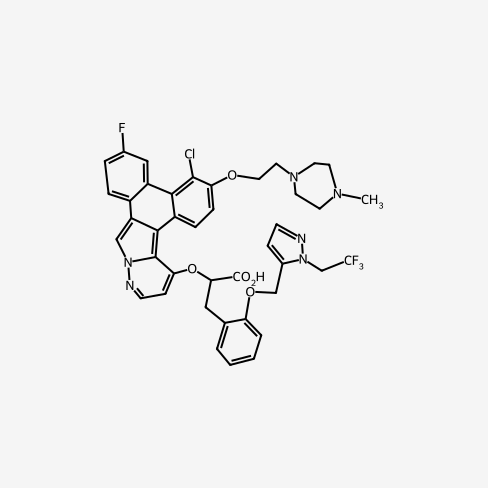 CN1CCN(CCOc2ccc3c(c2Cl)c2cc(F)ccc2c2cn4nccc(OC(Cc5ccccc5OCc5ccnn5CC(F)(F)F)C(=O)O)c4c23)CC1